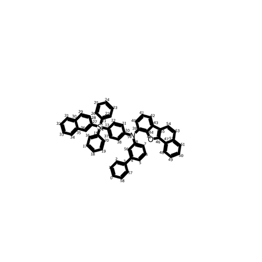 c1ccc(-c2cccc(N(c3ccc([Si](c4ccccc4)(c4ccccc4)c4ccc5ccccc5c4)cc3)c3cccc4c3oc3c5ccccc5ccc43)c2)cc1